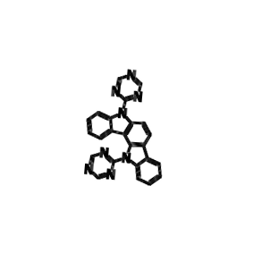 c1ccc2c(c1)c1c(ccc3c4ccccc4n(-c4ncncn4)c31)n2-c1ncncn1